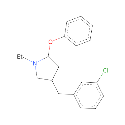 CCN1CC(Cc2cccc(Cl)c2)CC1Oc1ccccc1